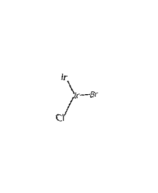 [Cl][Ir]([Br])[Ir]